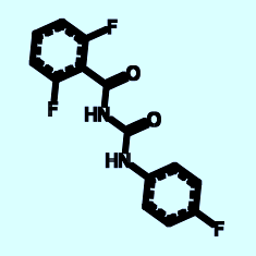 O=C(NC(=O)c1c(F)cccc1F)Nc1ccc(F)cc1